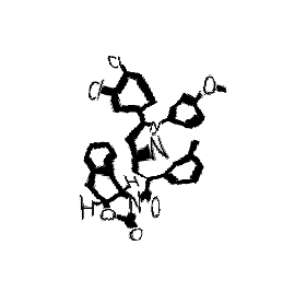 COc1ccc(-n2nc(C[C@H](C(=O)N3C(=O)O[C@@H]4Cc5ccccc5[C@@H]43)c3cccc(C)c3)cc2-c2ccc(Cl)c(Cl)c2)cc1